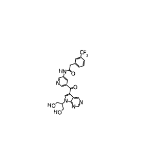 O=C(Cc1cccc(C(F)(F)F)c1)Nc1cncc(C(=O)c2cn(C(CO)CO)c3ncncc23)c1